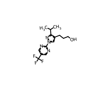 CC(C)c1nn(-c2ncc(C(F)(F)F)cn2)cc1CCCO